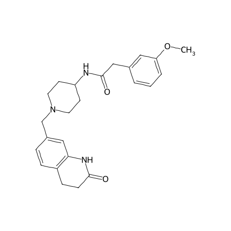 COc1cccc(CC(=O)NC2CCN(Cc3ccc4c(c3)NC(=O)CC4)CC2)c1